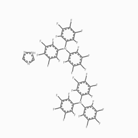 Fc1c(F)c(F)[c]([Al]([c]2c(F)c(F)c(F)c(F)c2F)[c]2c(F)c(F)c(F)c(F)c2F)c(F)c1F.Fc1c(F)c(F)[c]([Al]([c]2c(F)c(F)c(F)c(F)c2F)[c]2c(F)c(F)c(F)c(F)c2F)c(F)c1F.c1nc[nH]n1